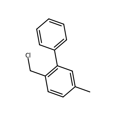 Cc1ccc(CCl)c(-c2ccccc2)c1